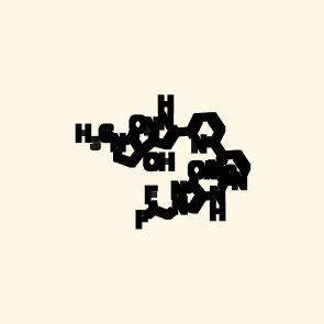 COc1nn(CC(F)F)cc1Nc1nccc(-c2cccc(-c3cc([C@@]4(O)CCN(C)C4=O)n[nH]3)n2)n1